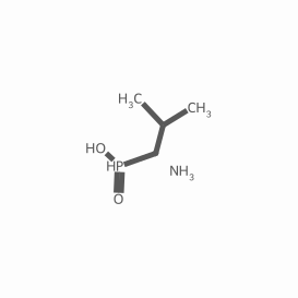 CC(C)C[PH](=O)O.N